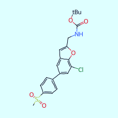 CC(C)(C)OC(=O)NCc1cc2cc(-c3ccc(S(C)(=O)=O)cc3)cc(Cl)c2o1